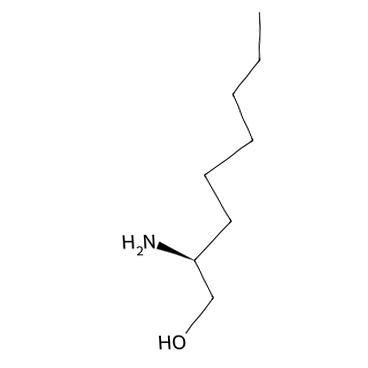 CCCCCC[C@H](N)CO